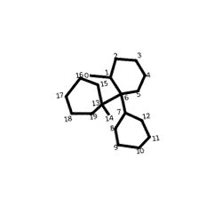 CC1CCCCC1(C1CCCCC1)C1(C)CCCCC1